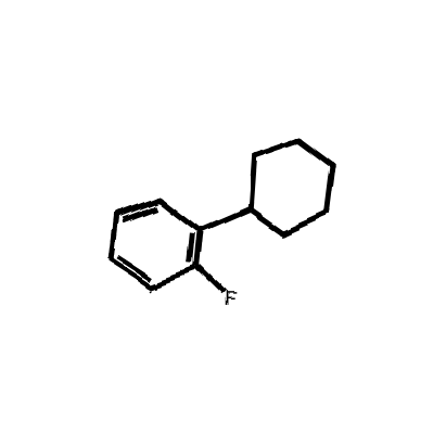 Fc1[c]cccc1C1CCCCC1